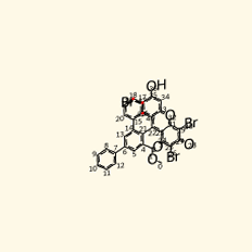 COC(=O)c1cc(-c2ccccc2)cc(-c2ccccc2)c1-c1c2cc(Br)c(=O)c(Br)c-2oc2cc(O)c(Br)cc12